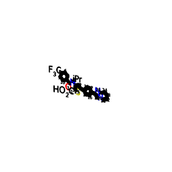 CC(C)N(C(=O)C1CCC(C(F)(F)F)CC1)c1cc(-c2ccc(-c3cn4ccccc4n3)cc2)sc1C(=O)O